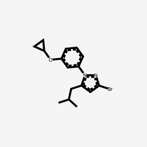 CC(C)Cc1cc(Br)nn1-c1cccc(OC2CC2)c1